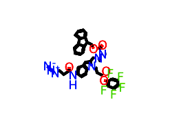 CN(Cc1cc2cc(NC(=O)CCN=[N+]=[N-])ccc2n1CCC(=O)Oc1c(F)c(F)c(F)c(F)c1F)N(C)C(=O)OCC1c2ccccc2-c2ccccc21